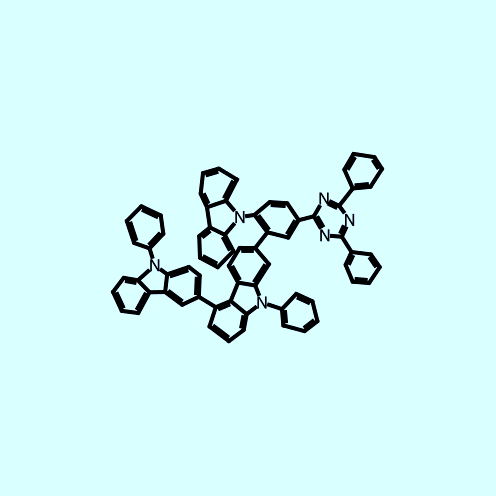 c1ccc(-c2nc(-c3ccccc3)nc(-c3ccc(-n4c5ccccc5c5ccccc54)c(-c4ccc5c6c(-c7ccc8c(c7)c7ccccc7n8-c7ccccc7)cccc6n(-c6ccccc6)c5c4)c3)n2)cc1